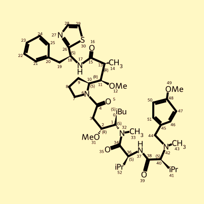 CC[C@H](C)[C@@H]([C@@H](CC(=O)N1CCC[C@H]1[C@H](OC)[C@@H](C)C(=O)N[C@@H](Cc1ccccc1)c1nccs1)OC)N(C)C(=O)[C@@H](NC(=O)[C@H](C(C)C)N(C)Cc1ccc(OC)cc1)C(C)C